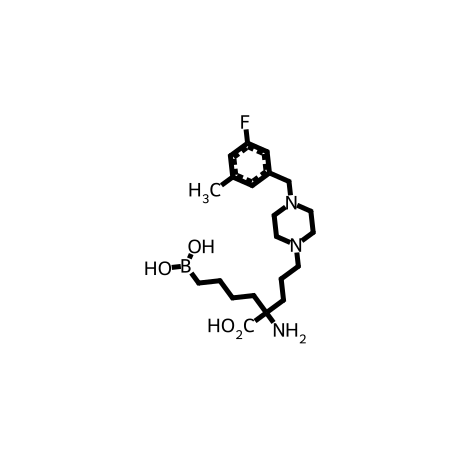 Cc1cc(F)cc(CN2CCN(CCCC(N)(CCCCB(O)O)C(=O)O)CC2)c1